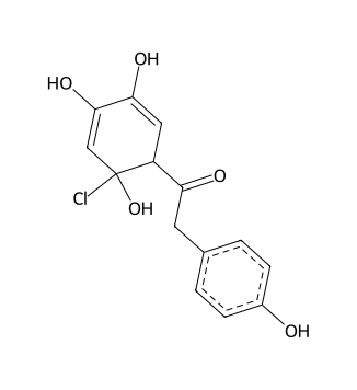 O=C(Cc1ccc(O)cc1)C1C=C(O)C(O)=CC1(O)Cl